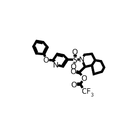 O=C(OC(=O)C(F)(F)F)C1C2CCCCC2CCN1S(=O)(=O)c1ccc(Oc2ccccc2)nc1